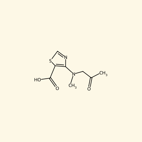 CC(=O)CN(C)c1ncsc1C(=O)O